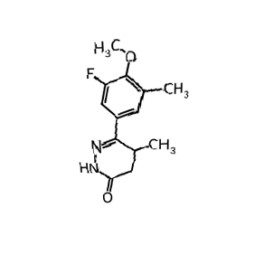 COc1c(C)cc(C2=NNC(=O)CC2C)cc1F